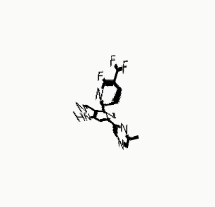 Cc1cncc(-c2cc3[nH]ncc3c(-c3ccc(C(F)F)c(F)n3)n2)n1